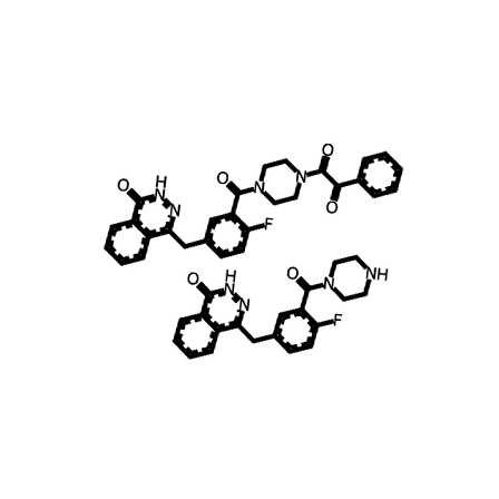 O=C(C(=O)N1CCN(C(=O)c2cc(Cc3n[nH]c(=O)c4ccccc34)ccc2F)CC1)c1ccccc1.O=C(c1cc(Cc2n[nH]c(=O)c3ccccc23)ccc1F)N1CCNCC1